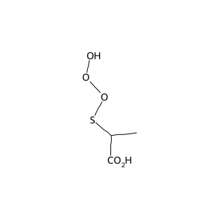 CC(SOOO)C(=O)O